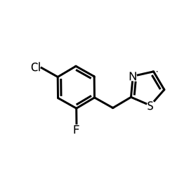 Fc1cc(Cl)ccc1Cc1n[c]cs1